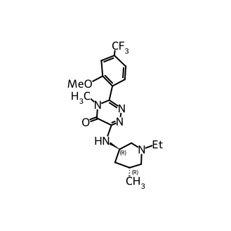 CCN1C[C@H](C)C[C@@H](Nc2nnc(-c3ccc(C(F)(F)F)cc3OC)n(C)c2=O)C1